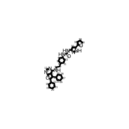 O=C(Nc1ccc(CCNc2ncnc3oc(-c4ccccc4)c(-c4ccccc4)c23)cc1)Nc1cc(-c2ccco2)[nH]n1